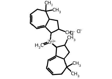 [CH2]=[Zr+2]([CH]1C2=CC=CCC(C)(C)C2CC1C)[CH]1C2=CC=CCC(C)(C)C2CC1C.[Cl-].[Cl-]